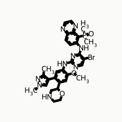 COc1cc(C2CNCCO2)c(-c2cn(C)nc2C)cc1Nc1ncc(Br)c(Nc2ccc3nccnc3c2P(C)(C)=O)n1